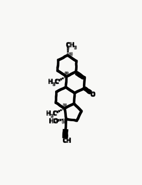 C#C[C@]1(O)CCC2C3C(=O)C=C4C[C@@H](C)CC[C@]4(C)C3CC[C@@]21C